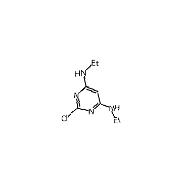 CCNc1cc(NCC)nc(Cl)n1